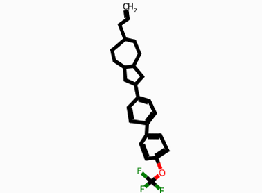 C=CCC1CCC2CC(c3ccc(-c4ccc(OC(F)(F)F)cc4)cc3)CC2CC1